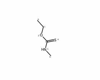 C[CH]OC(=S)NC